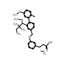 CC[C@@H](CC(=O)O)c1cccc(OCc2ccc(-c3cc(OC)ccc3F)c([C@H](OC)C(C)(C)CC)c2)c1